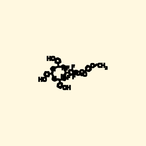 C=CCOc1ccc(C2OCC(COc3c(F)c(F)c(C4=C5C=CC(=N5)C(c5cccc(O)c5)=C5C=CC(=N5)C(c5cccc(O)c5)=C5C=CC(=N5)C(c5cccc(O)c5)=C5C=CC4=N5)c(F)c3F)O2)cc1